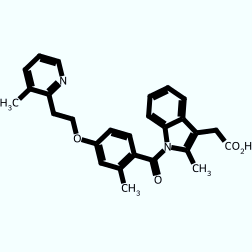 Cc1cc(OCCc2ncccc2C)ccc1C(=O)n1c(C)c(CC(=O)O)c2ccccc21